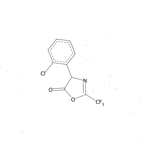 O=C1OC(C(F)(F)F)=NC1c1ccccc1Cl